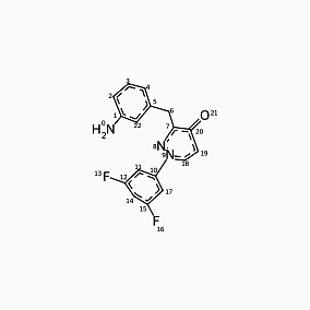 Nc1cccc(Cc2nn(-c3cc(F)cc(F)c3)ccc2=O)c1